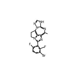 CC1=c2nc(-c3c(F)ccc(Br)c3F)n3c2=C(CC3)N2N=CNC2=N1